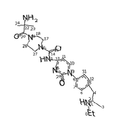 CCNC(C)Cc1ccc(-n2ccc(NC(=O)N3CCN(C(=O)C(C)(C)N)CC3)nc2=O)cc1